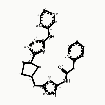 O=C(Cc1ccccn1)Nc1nnc(CC2CCC(c3nnc(Nc4cnccn4)s3)C2)s1